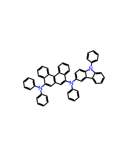 c1ccc(N(c2ccccc2)c2cc3cc(N(c4ccccc4)c4ccc5c(c4)c4ccccc4n5-c4ccccc4)c4ccccc4c3c3ccccc23)cc1